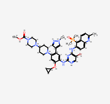 Cc1ccc2c(P(C)(C)=O)c(Nc3nc(Nc4cc(-c5cnn(C)c5)c(N5CCC(N6CCN(C(=O)OC(C)(C)C)CC6)CC5)cc4OC4CC4)ncc3Br)ccc2n1